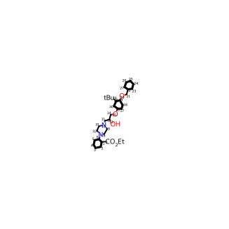 CCOC(=O)c1ccccc1N1CCN(CC(O)COc2ccc(OCc3ccccc3)c(C(C)(C)C)c2)CC1